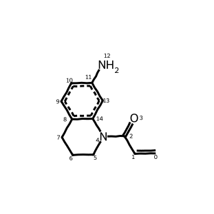 C=CC(=O)N1CCCc2ccc(N)cc21